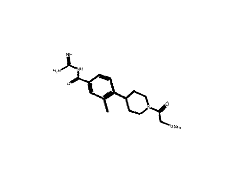 COCC(=O)N1CCC(c2ccc(C(=O)NC(=N)N)cc2C)CC1